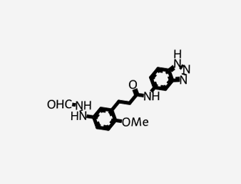 COc1ccc(NNC=O)cc1CCC(=O)Nc1ccc2[nH]nnc2c1